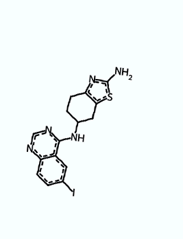 Nc1nc2c(s1)CC(Nc1ncnc3ccc(I)cc13)CC2